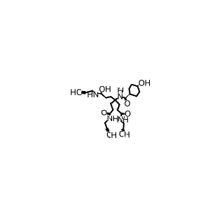 C#CCNC(=O)CCC(CCC(=O)NCC#C)(CCC(O)NCC#C)NC(=O)[C@H]1CC[C@H](O)CC1